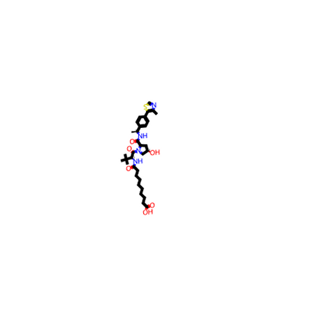 Cc1ncsc1-c1ccc([C@H](C)NC(=O)C2C[C@@H](O)CN2C(=O)[C@@H](NC(=O)CCCCCCCCC(=O)O)C(C)(C)C)cc1